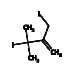 C=C(CI)C(C)(C)I